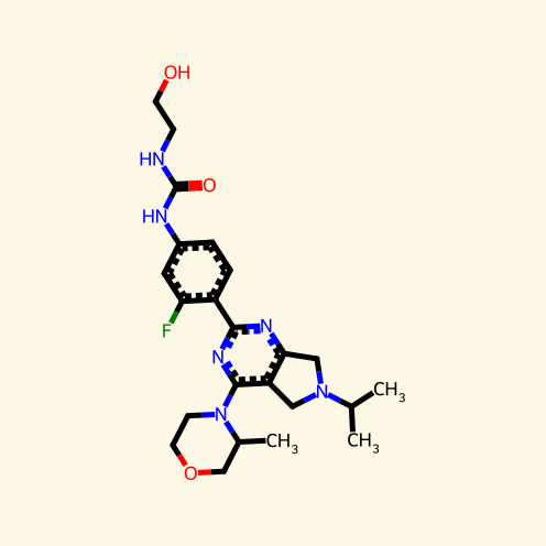 CC(C)N1Cc2nc(-c3ccc(NC(=O)NCCO)cc3F)nc(N3CCOCC3C)c2C1